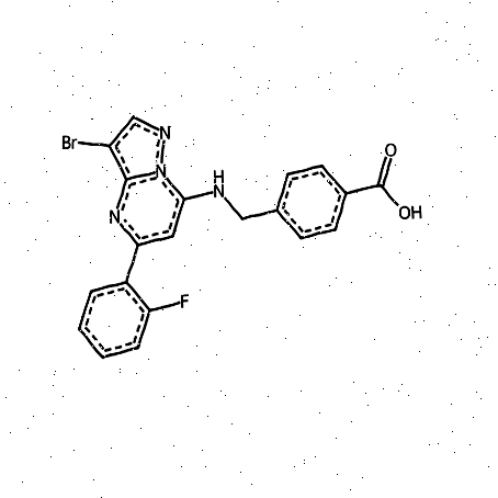 O=C(O)c1ccc(CNc2cc(-c3ccccc3F)nc3c(Br)cnn23)cc1